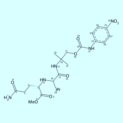 COC(=O)[C@H](CCC(N)=O)NC(C(=O)NC(C)(C)COC(=O)Nc1ccc([N+](=O)[O-])cc1)C(C)C